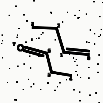 C=CCC.CCC=O